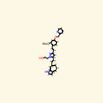 COc1cc(OCc2ccccn2)ccc1/C=C/c1cc(/C=C/C2=CCC=c3cc[nH]c3=C2)n(CCO)n1